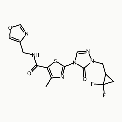 Cc1nc(-n2cnn(CC3CC3(F)F)c2=O)sc1C(=O)NCc1cocn1